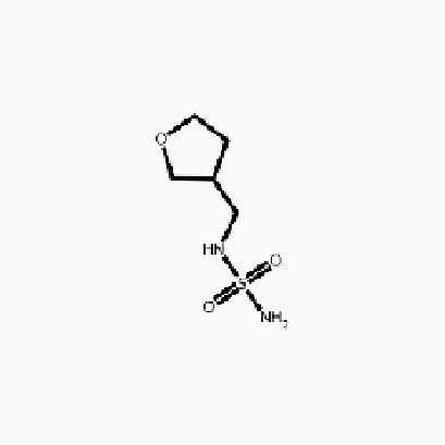 NS(=O)(=O)NCC1CCOC1